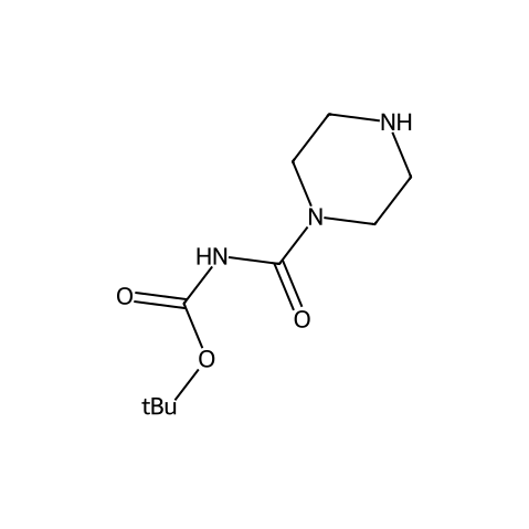 CC(C)(C)OC(=O)NC(=O)N1CCNCC1